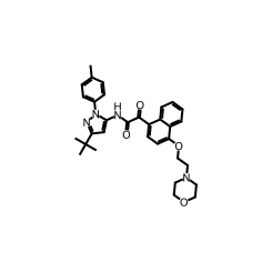 Cc1ccc(-n2nc(C(C)(C)C)cc2NC(=O)C(=O)c2ccc(OCCN3CCOCC3)c3ccccc23)cc1